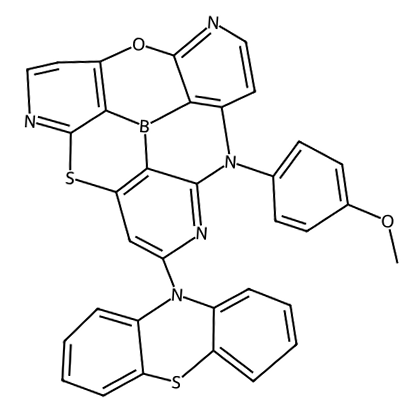 COc1ccc(N2c3ccnc4c3B3c5c(ccnc5Sc5cc(N6c7ccccc7Sc7ccccc76)nc2c53)O4)cc1